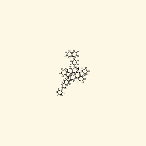 c1ccc(-c2nc3cc4c(cc3s2)c2cc(-c3cccc5c6ccccc6n(-c6nc(-c7ccc(-c8cccc9ccccc89)cc7)c7ccccc7n6)c35)ccc2n4-c2ccccc2)cc1